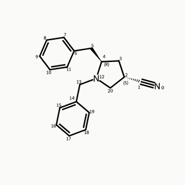 N#C[C@H]1C[C@H](Cc2ccccc2)N(Cc2ccccc2)C1